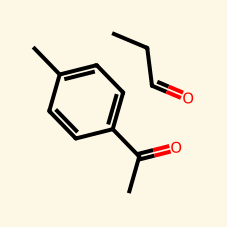 CC(=O)c1ccc(C)cc1.CCC=O